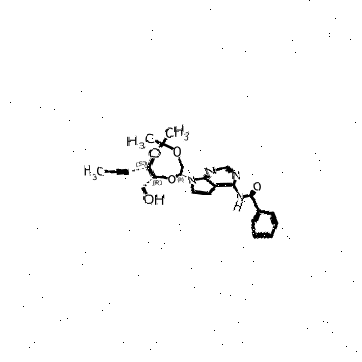 CC#C[C@@H]1OC(C)(C)OC[C@H](n2ccc3c(NC(=O)c4ccccc4)ncnc32)O[C@@H]1CO